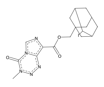 Cn1nnc2c(C(=O)OCC34CC5CC(C3)C(I)C(C5)C4)ncn2c1=O